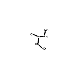 O=NNN(N=O)NN=O